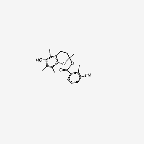 Cc1c(C#N)cccc1C(=O)OC1(C)CCc2c(C)c(O)c(C)c(C)c2O1